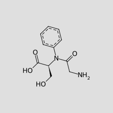 NCC(=O)N(c1ccccc1)[C@@H](CO)C(=O)O